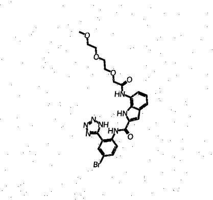 COCCOCCOCC(=O)Nc1cccc2cc(C(=O)Nc3ccc(Br)cc3-c3nnn[nH]3)[nH]c12